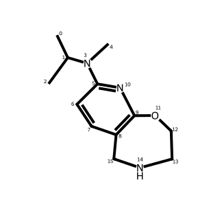 CC(C)N(C)c1ccc2c(n1)OCCNC2